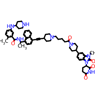 Cc1ccc(NC2CCNCC2)cc1C(=O)NC(C)c1ccc(C#CC2CCN(CCCCC(=O)N3CCC(c4ccc5c(c4)n(C)c(=O)n5C4CCC(=O)NC4=O)CC3)CC2)c2ccccc12